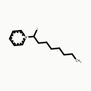 CCCCCCCC(I)[n+]1ccccc1